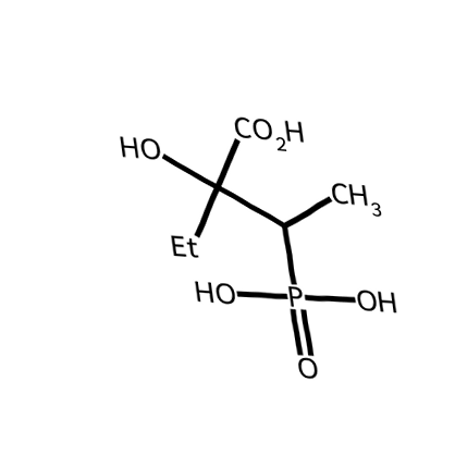 CCC(O)(C(=O)O)C(C)P(=O)(O)O